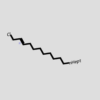 CCCCCCCCCCCCCCC/C=C/[CH]Cl